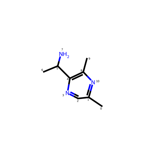 Cc1cnc(C(C)N)c(C)n1